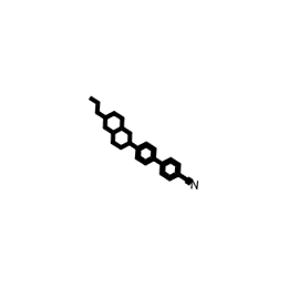 CCCC1CCC2CC(c3ccc(-c4ccc(C#N)cc4)cc3)CCC2C1